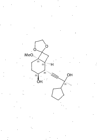 CO[C@@]12CC[C@H](O)[C@@H](C#C[C@@](C)(O)C3CCCC3)[C@@H]1CC21OCCO1